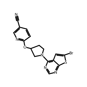 N#Cc1ccc(OC2CCN(c3ncnc4sc(Br)cc34)C2)nc1